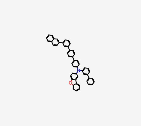 c1ccc(-c2cccc(N(c3ccc(-c4ccc(-c5cccc(-c6ccc7ccccc7c6)c5)cc4)cc3)c3ccc4oc5ccccc5c4c3)c2)cc1